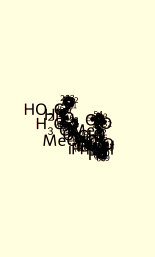 CC[C@H](C)[C@@H]([C@@H](CC(=O)N1CCC[C@H]1[C@H](OC)[C@@H](C)C(=O)N[C@@H](Cc1ccccc1)C(=O)O)OC)N(C)C(=O)[C@@H](NC(=O)[C@@H]1[C@H]2CC[C@H](C2)N1C(=O)CCOCCN1C(=O)C=CC1=O)C(C)C